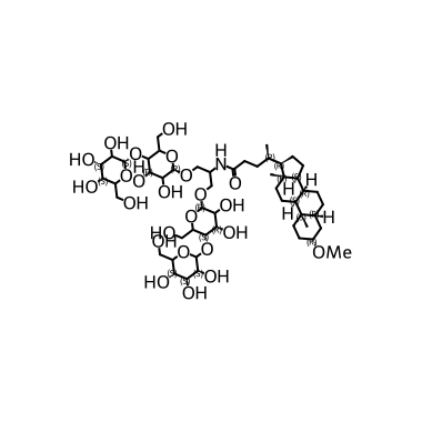 CO[C@@H]1CC[C@@]2(C)[C@H](CC[C@@H]3[C@@H]2CC[C@]2(C)[C@@H]([C@H](C)CCC(=O)NC(CO[C@@H]4OC(CO)C(O[C@@H]5OC(CO)[C@@H](O)[C@H](O)C5O)[C@H](O)C4O)CO[C@@H]4OC(CO)[C@@H](OC5OC(CO)[C@@H](O)[C@H](O)[C@@H]5O)[C@H](O)C4O)CC[C@@H]32)C1